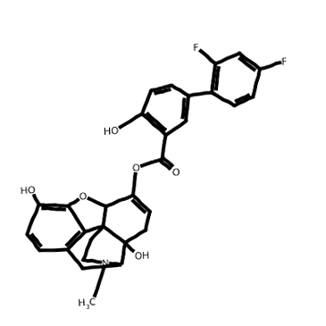 CN1CCC23c4c5ccc(O)c4OC2C(OC(=O)c2cc(-c4ccc(F)cc4F)ccc2O)=CCC3(O)C1C5